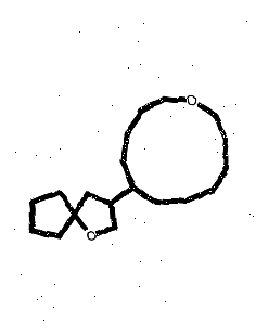 C1CCCC(C2COC3(CCCC3)C2)CCCCOCC1